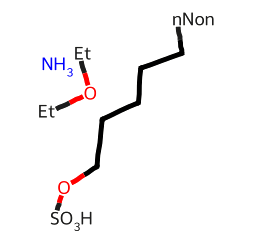 CCCCCCCCCCCCCCOS(=O)(=O)O.CCOCC.N